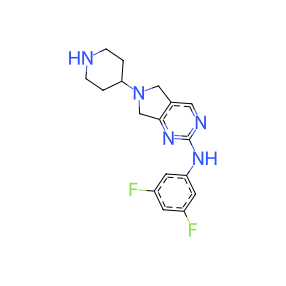 Fc1cc(F)cc(Nc2ncc3c(n2)CN(C2CCNCC2)C3)c1